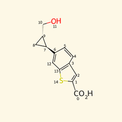 O=C(O)c1cc2ccc([C@H]3C[C@@H]3CO)cc2s1